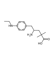 CCNc1ccc(CC(N)CC(C)(C)C(=O)O)cc1